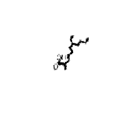 C=C(CCCCC(CC)CCCC)C(=O)O